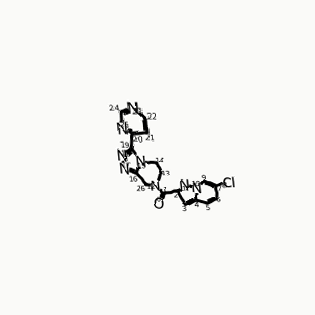 O=C(c1cc2ccc(Cl)cn2n1)N1CCn2c(nnc2-c2ccncn2)C1